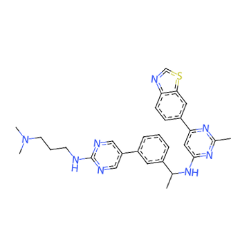 Cc1nc(NC(C)c2cccc(-c3cnc(NCCCN(C)C)nc3)c2)cc(-c2ccc3ncsc3c2)n1